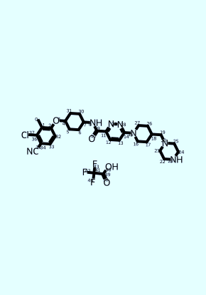 Cc1c(OC2CCC(NC(=O)c3ccc(N4CCC(CN5CCNCC5)CC4)nn3)CC2)ccc(C#N)c1Cl.O=C(O)C(F)(F)F